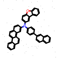 c1ccc2cc(-c3ccc(N(c4ccc5ccc6c7ccccc7ccc6c5c4)c4ccc5oc6ccccc6c5c4)cc3)ccc2c1